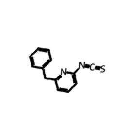 S=C=Nc1cccc(Cc2ccccc2)n1